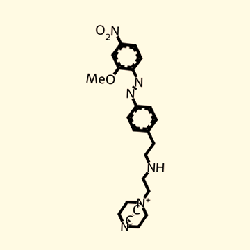 COc1cc([N+](=O)[O-])ccc1N=Nc1ccc(CCNCC[N+]23CCN(CC2)CC3)cc1